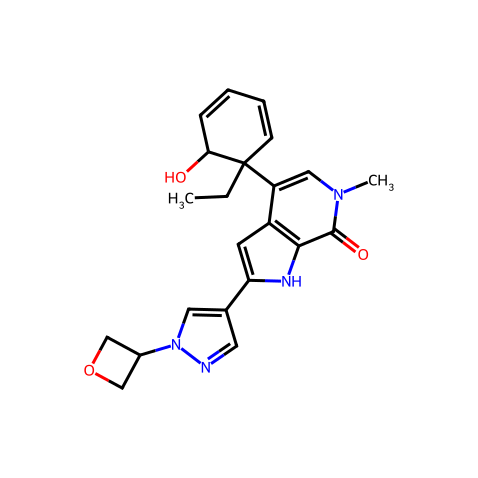 CCC1(c2cn(C)c(=O)c3[nH]c(-c4cnn(C5COC5)c4)cc23)C=CC=CC1O